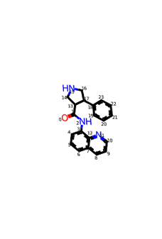 O=C(Nc1cccc2cccnc12)C1CNCC1c1ccccc1